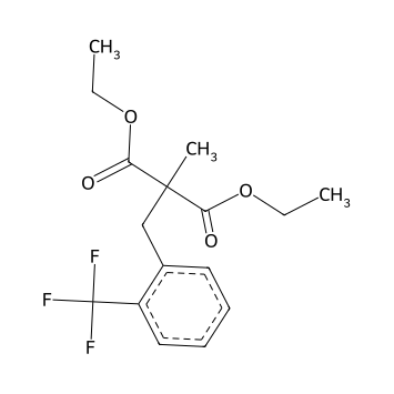 CCOC(=O)C(C)(Cc1ccccc1C(F)(F)F)C(=O)OCC